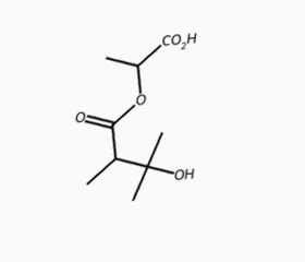 CC(OC(=O)C(C)C(C)(C)O)C(=O)O